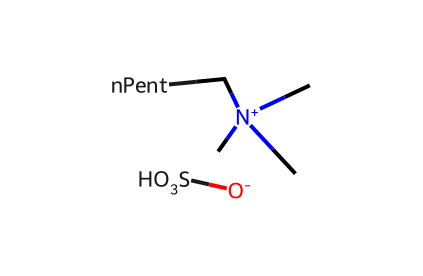 CCCCCC[N+](C)(C)C.O=S(=O)([O-])O